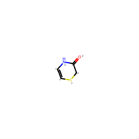 O=C1[C]SC=CN1